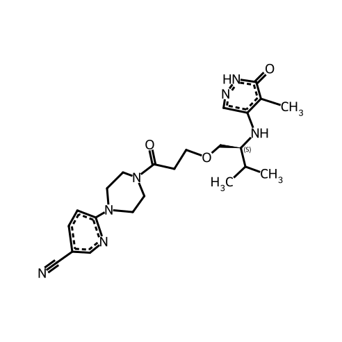 Cc1c(N[C@H](COCCC(=O)N2CCN(c3ccc(C#N)cn3)CC2)C(C)C)cn[nH]c1=O